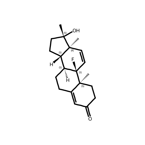 C[C@]1(O)CC[C@H]2[C@@H]3CCC4=CC(=O)CC[C@]4(C)[C@@]3(F)C=C[C@@]21C